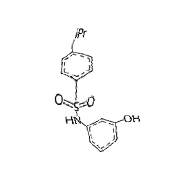 CC(C)c1ccc(S(=O)(=O)Nc2cccc(O)c2)cc1